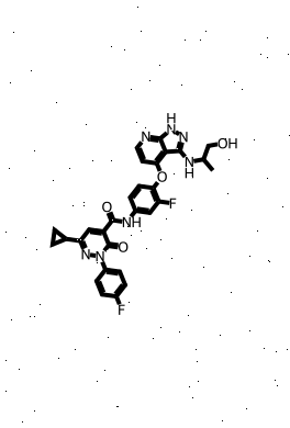 CC(CO)Nc1n[nH]c2nccc(Oc3ccc(NC(=O)c4cc(C5CC5)nn(-c5ccc(F)cc5)c4=O)cc3F)c12